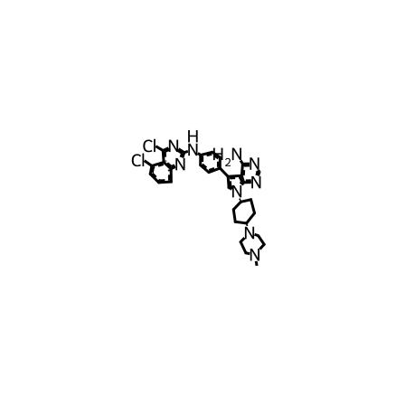 CN1CCN([C@H]2CC[C@@H](n3cc(-c4ccc(Nc5nc(Cl)c6c(Cl)cccc6n5)cc4)c4c(N)ncnc43)CC2)CC1